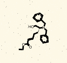 CCOC(=O)/C=C/CC[C@H](CO)N(Cc1ccccc1)Cc1ccccc1